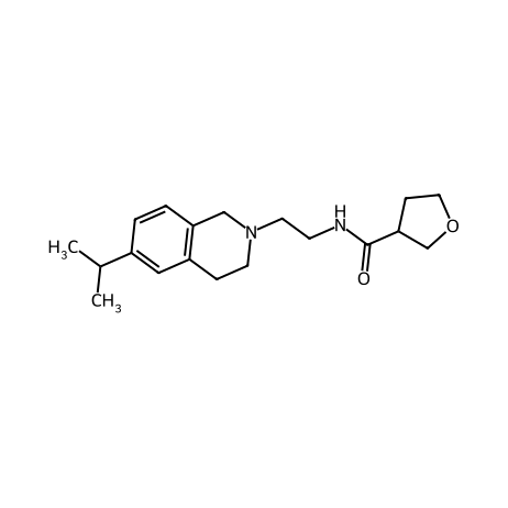 CC(C)c1ccc2c(c1)CCN(CCNC(=O)C1CCOC1)C2